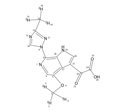 [2H]C([2H])([2H])Oc1cnc(-n2cnc(C([2H])([2H])[2H])n2)c2[nH]cc(C(=O)C(=O)O)c12